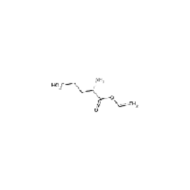 C=COC(=O)[C@@H](N)CCC(=O)O